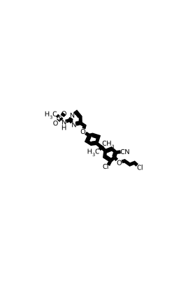 CC(C)(c1ccc(OCc2ccnc(NS(C)(=O)=O)n2)cc1)c1cc(Cl)c(OCCCCl)c(C#N)c1